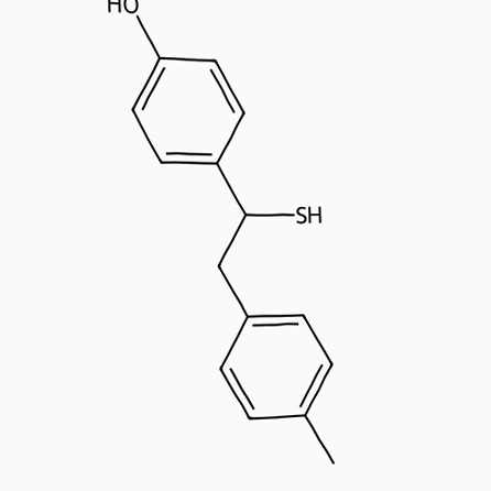 Cc1ccc(CC(S)c2ccc(O)cc2)cc1